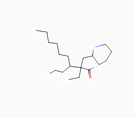 CCCCCCC(CCC)C(CC)(CC1CCCCN1)C(N)=O